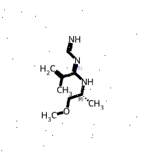 C=C(C)/C(=N\C=N)N[C@H](C)COC